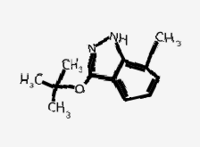 Cc1cccc2c(OC(C)(C)C)n[nH]c12